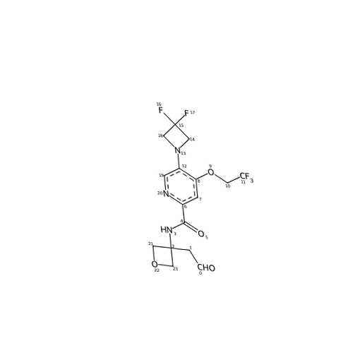 O=CCC1(NC(=O)c2cc(OCC(F)(F)F)c(N3CC(F)(F)C3)cn2)COC1